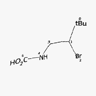 CC(C)(C)C(Br)CNC(=O)O